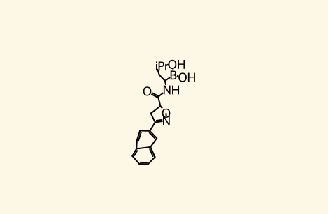 CC(C)CC(NC(=O)C1CC(c2ccc3ccccc3c2)=NO1)B(O)O